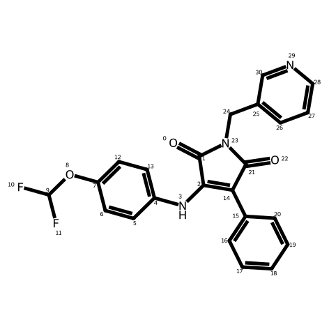 O=C1C(Nc2ccc(OC(F)F)cc2)=C(c2ccccc2)C(=O)N1Cc1cccnc1